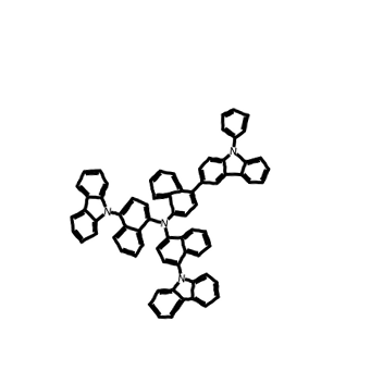 c1ccc(-n2c3ccccc3c3cc(-c4ccc(N(c5ccc(-n6c7ccccc7c7ccccc76)c6ccccc56)c5ccc(-n6c7ccccc7c7ccccc76)c6ccccc56)c5ccccc45)ccc32)cc1